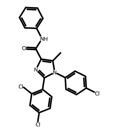 Cc1c(C(=O)Nc2ccccc2)nc(-c2ccc(Cl)cc2Cl)n1-c1ccc(Cl)cc1